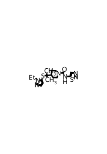 CCn1nccc1SC(C)(C)C1CCN(C(=O)Nc2cnns2)CC1